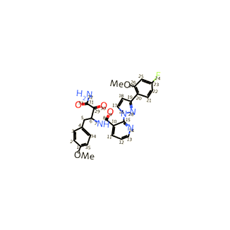 COc1ccc(CC(NC(=O)c2cccnc2-n2ccc(-c3ccc(F)cc3OC)n2)C(=O)C(N)=O)cc1